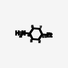 CCC1CC[C](N)CC1